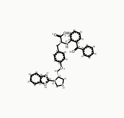 COC(=O)[C@H](Cc1ccc(OC[C@@H]2CSCN2c2nc3ccccc3o2)cc1)Nc1ccccc1C(=O)c1ccccc1